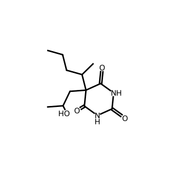 CCCC(C)C1(CC(C)O)C(=O)NC(=O)NC1=O